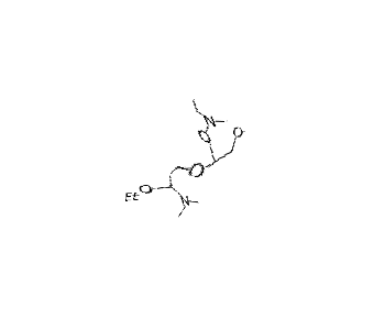 CCOC(COC(C[O])ON(C)C)N(C)C